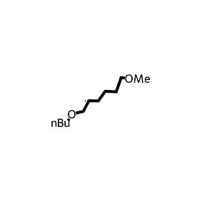 CCCCOC[CH]CCCCOC